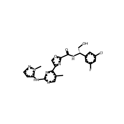 Cc1cnc(Nc2ccnn2C)nc1-c1coc(C(=O)N[C@H](CO)c2cc(F)cc(Cl)c2)n1